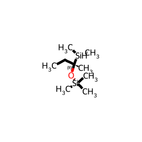 CC[C@](C)(O[Si](C)(C)C)[SiH](C)C